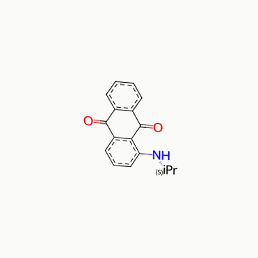 [CH2][C@@H](C)Nc1cccc2c1C(=O)c1ccccc1C2=O